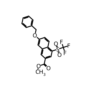 COC(=O)c1cc(S(=O)(=O)C(F)(F)F)c2ccc(OCc3ccccc3)cc2c1